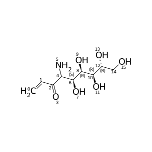 C=CC(=O)C(N)[C@H](O)[C@@H](O)[C@H](O)[C@H](O)CO